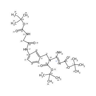 CC(C)(C)OC(=O)/N=C(\N)N(Cc1cccc(NC(=O)CNC(=O)OC(C)(C)C)c1)C(=O)OC(C)(C)C